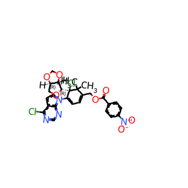 CC1(C)C(COC(=O)c2ccc([N+](=O)[O-])cc2)=CC=C(n2ccc3c(Cl)ncnc32)C1(Cl)[C@@H]1OC[C@H]2OCO[C@@H]12